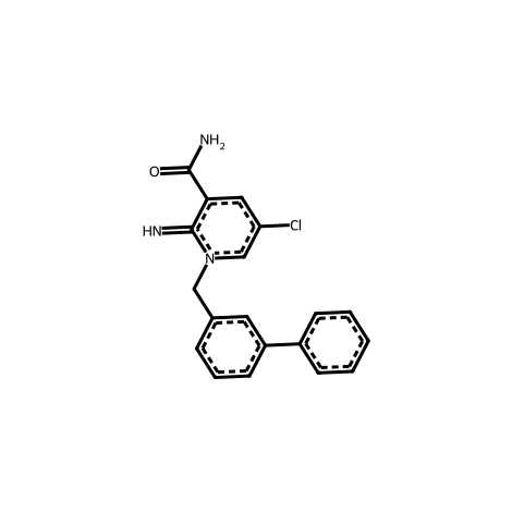 N=c1c(C(N)=O)cc(Cl)cn1Cc1cccc(-c2ccccc2)c1